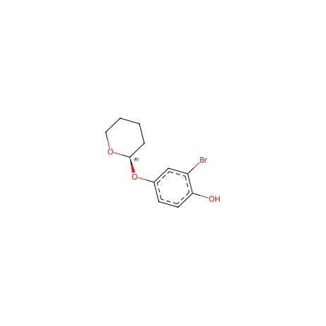 Oc1ccc(O[C@@H]2CCCCO2)cc1Br